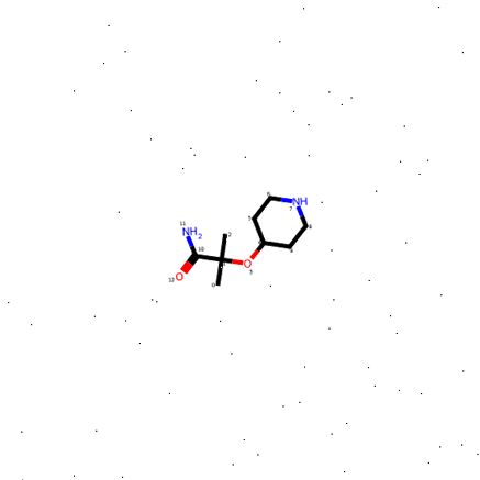 CC(C)(OC1CCNCC1)C(N)=O